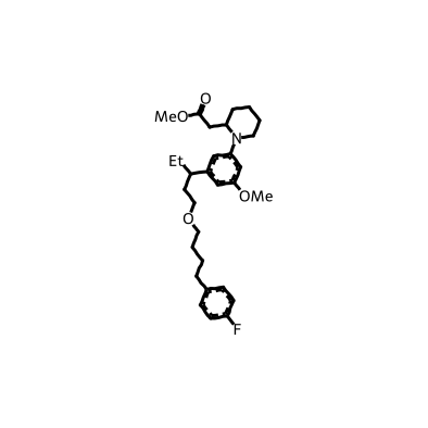 CCC(CCOCCCCc1ccc(F)cc1)c1cc(OC)cc(N2CCCCC2CC(=O)OC)c1